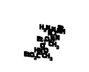 CCNc1nc(N)nc2c1ncn2[C@@H](C)O[C@@H](CC)COC(=O)N[C@@H](C)C(=O)OCC